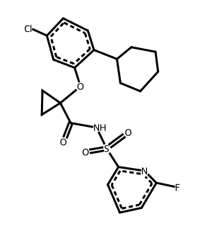 O=C(NS(=O)(=O)c1cccc(F)n1)C1(Oc2cc(Cl)ccc2C2CCCCC2)CC1